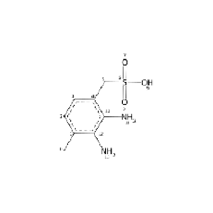 Cc1ccc(CS(=O)(=O)O)c(N)c1N